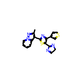 Cc1nn2ccccc2c1-c1nc(-c2ccsc2)c(C2=NCC=N2)s1